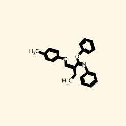 CCC(=COc1ccc(C)cc1)C(=Nc1ccccc1)Oc1ccccc1